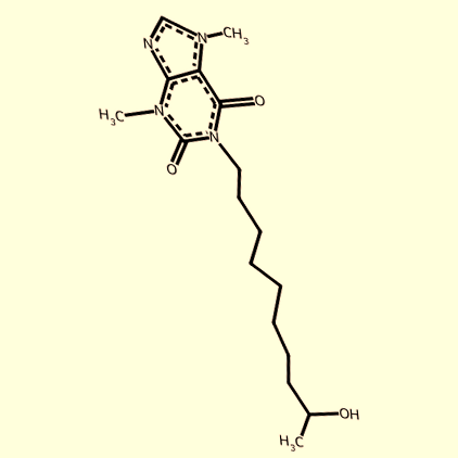 CC(O)CCCCCCCCn1c(=O)c2c(ncn2C)n(C)c1=O